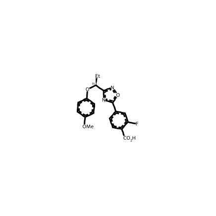 CC[C@H](Oc1ccc(OC)cc1)c1noc(-c2ccc(C(=O)O)c(F)c2)n1